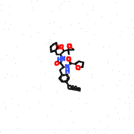 COc1ccc(CC(NC(=O)C2CCCO2)C(=O)NC(Cc2ccccc2)C(O)C2(C)CO2)cc1